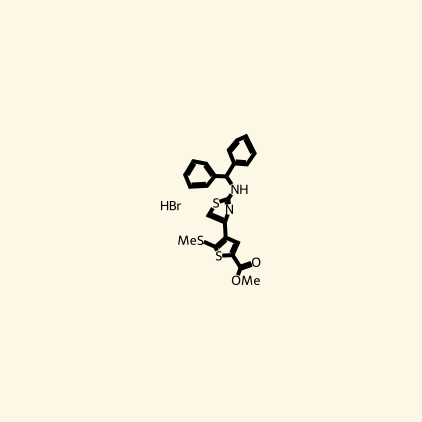 Br.COC(=O)c1cc(-c2csc(NC(c3ccccc3)c3ccccc3)n2)c(SC)s1